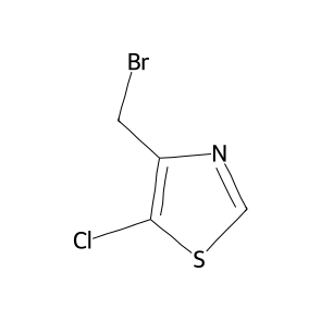 Clc1scnc1CBr